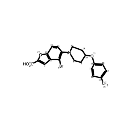 O=C(O)c1cc2c(Br)c(N3CCC(Oc4ccc(C(F)(F)F)cc4)CC3)ccc2o1